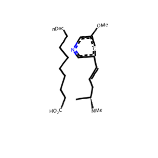 CCCCCCCCCCCCCCCCCC(=O)O.CN[C@@H](C)C/C=C/c1cncc(OC)c1